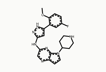 COc1ccc(F)cc1-c1cc(Nc2cnc3ccn(C4CCNCC4)c3n2)n[nH]1